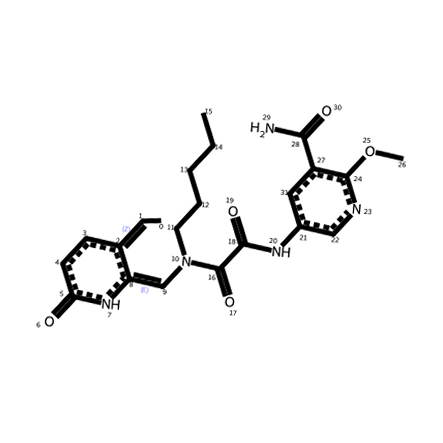 C/C=c1/ccc(=O)[nH]/c1=C/N(CCCCC)C(=O)C(=O)Nc1cnc(OC)c(C(N)=O)c1